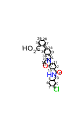 O=C(NCc1cccc(Cl)c1)c1ccc2c(c1)OCCN2Cc1ccc(-c2ccccc2C(=O)O)cc1